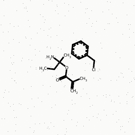 C=C(C)C(=O)OC(C)(N)CC.ClCc1ccccc1